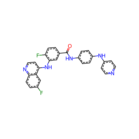 O=C(Nc1ccc(Nc2ccncc2)cc1)c1ccc(F)c(Nc2ccnc3ccc(F)cc23)c1